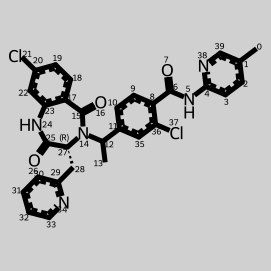 Cc1ccc(NC(=O)c2ccc(C(C)N3C(=O)c4ccc(Cl)cc4NC(=O)[C@H]3Cc3ccccn3)cc2Cl)nc1